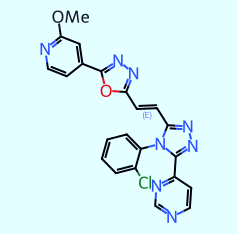 COc1cc(-c2nnc(/C=C/c3nnc(-c4ccncn4)n3-c3ccccc3Cl)o2)ccn1